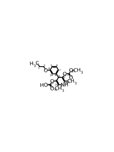 CCCOc1cccc(C2C(OC(=O)O)=C(C)NC(C)=C2OC(=O)OC)c1